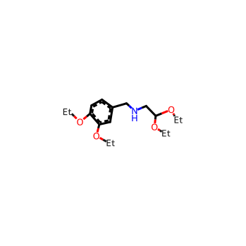 CCOc1ccc(CNCC(OCC)OCC)cc1OCC